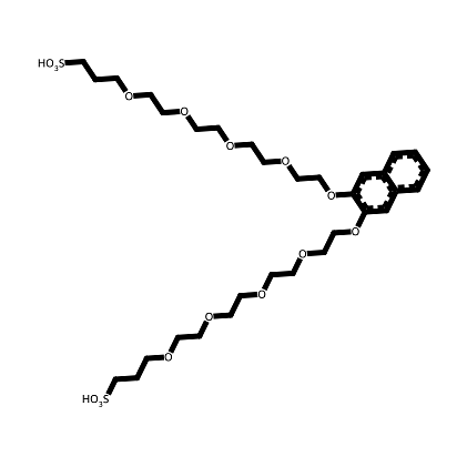 O=S(=O)(O)CCCOCCOCCOCCOCCOc1cc2ccccc2cc1OCCOCCOCCOCCOCCCS(=O)(=O)O